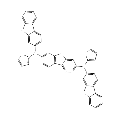 c1coc(N(c2ccc3c(c2)oc2ccccc23)c2cc3oc4nc(N(c5ccc6c(c5)oc5ccccc56)c5cccs5)ccc4c3nn2)c1